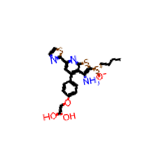 CCCC[S+]([O-])c1sc2nc(-c3nccs3)cc(-c3ccc(OCC(O)O)cc3)c2c1N